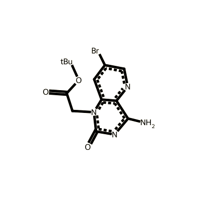 CC(C)(C)OC(=O)Cn1c(=O)nc(N)c2ncc(Br)cc21